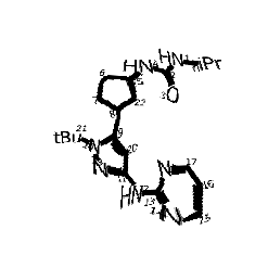 CC(C)NC(=O)NC1CCC(c2cc(Nc3ncccn3)nn2C(C)(C)C)C1